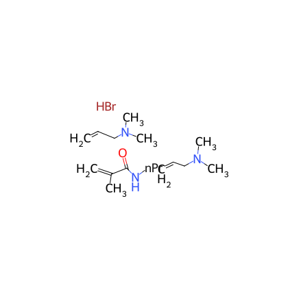 Br.C=C(C)C(=O)NCCC.C=CCN(C)C.C=CCN(C)C